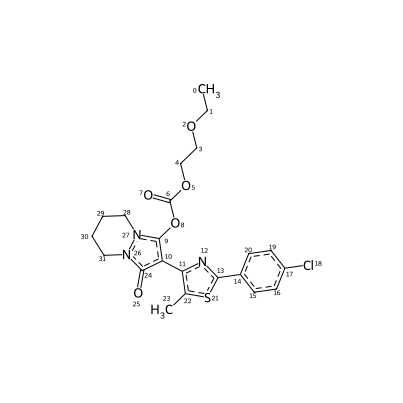 CCOCCOC(=O)Oc1c(-c2nc(-c3ccc(Cl)cc3)sc2C)c(=O)n2n1CCCC2